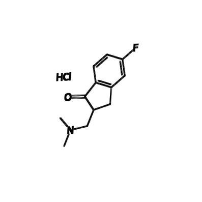 CN(C)CC1Cc2cc(F)ccc2C1=O.Cl